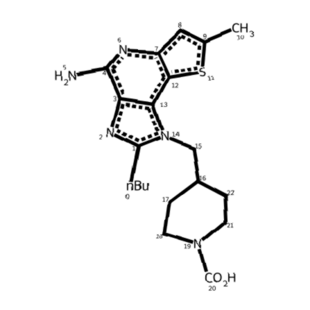 CCCCc1nc2c(N)nc3cc(C)sc3c2n1CC1CCN(C(=O)O)CC1